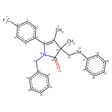 CC1=C(c2ccc(C(F)(F)F)cc2)N(Cc2ccccc2)C(=O)C1(C)C[Se]c1ccccc1